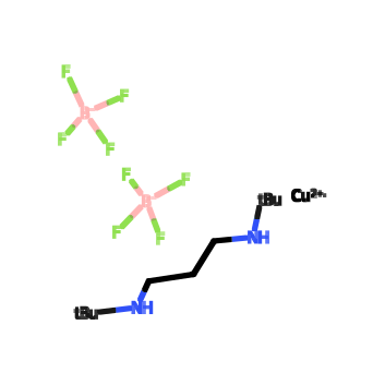 CC(C)(C)NCCCNC(C)(C)C.F[B-](F)(F)F.F[B-](F)(F)F.[Cu+2]